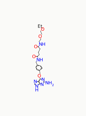 CCOCCOCCNC(=O)CCCC(=O)NCc1ccc(COc2nc(N)nc3[nH]cnc23)cc1